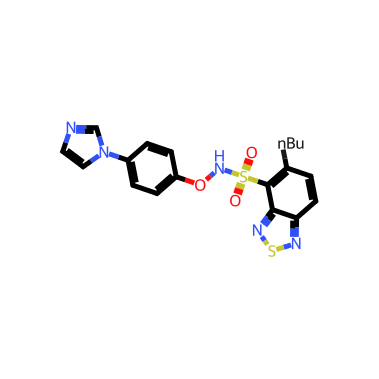 CCCCc1ccc2nsnc2c1S(=O)(=O)NOc1ccc(-n2ccnc2)cc1